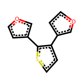 c1cc(-c2ccsc2-c2ccoc2)co1